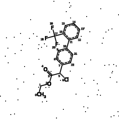 CCOC(=O)C(Cl)c1ccc(-c2ccccc2C(F)(F)F)cc1